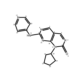 O=c1ncc2cnc(Nc3ccncc3)nc2n1C1CCCC1